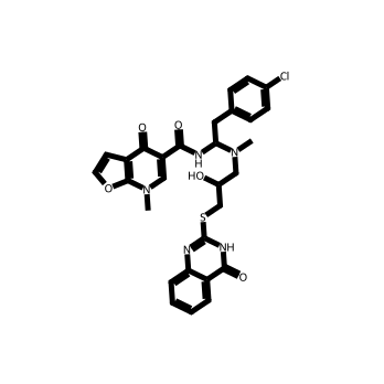 CN(CC(O)CSc1nc2ccccc2c(=O)[nH]1)C(Cc1ccc(Cl)cc1)NC(=O)c1cn(C)c2occc2c1=O